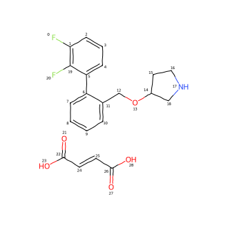 Fc1cccc(-c2ccccc2COC2CCNC2)c1F.O=C(O)C=CC(=O)O